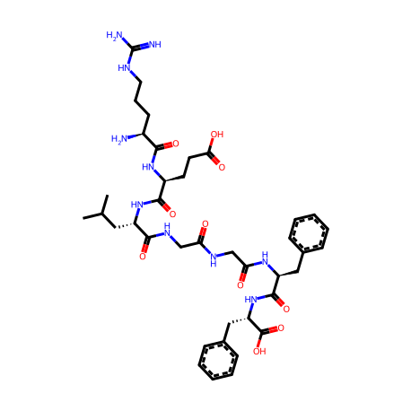 CC(C)C[C@H](NC(=O)[C@H](CCC(=O)O)NC(=O)[C@@H](N)CCCNC(=N)N)C(=O)NCC(=O)NCC(=O)N[C@@H](Cc1ccccc1)C(=O)N[C@@H](Cc1ccccc1)C(=O)O